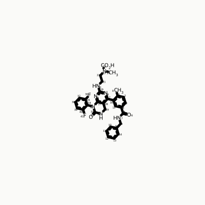 Cc1ccc(C(=O)NCc2ccccc2)cc1-c1nc(NCCN(C)C(=O)O)nc2c1CNC(=O)N2c1c(F)cccc1F